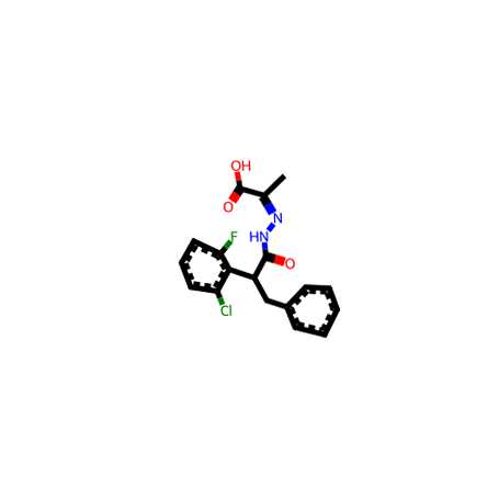 C/C(=N/NC(=O)C(Cc1ccccc1)c1c(F)cccc1Cl)C(=O)O